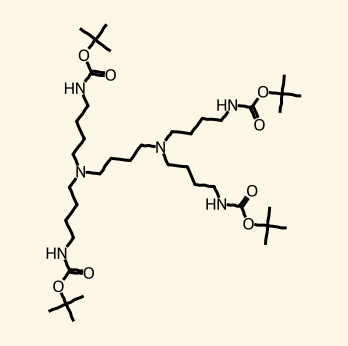 CC(C)(C)OC(=O)NCCCCN(CCCCNC(=O)OC(C)(C)C)CCCCN(CCCCNC(=O)OC(C)(C)C)CCCCNC(=O)OC(C)(C)C